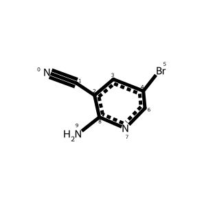 N#Cc1cc(Br)cnc1N